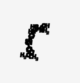 CC1(C)CCc2cc(-c3csc(N4CCC(NC[C@@H](O)[C@@H](N)CO)CC4)n3)ccc21